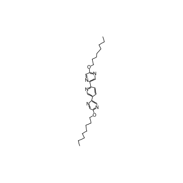 CCCCCCCCOc1cnc(-c2ccc(-c3cnc(OCCCCCCCC)cn3)nc2)cn1